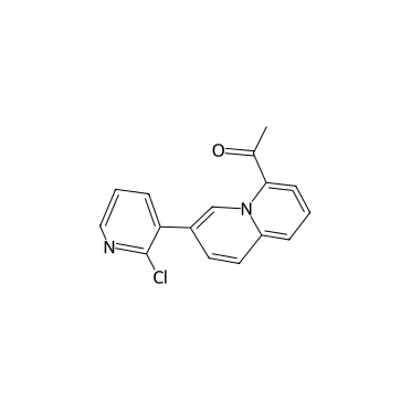 CC(=O)C1=C=CC=C2C=CC(c3cccnc3Cl)=CN12